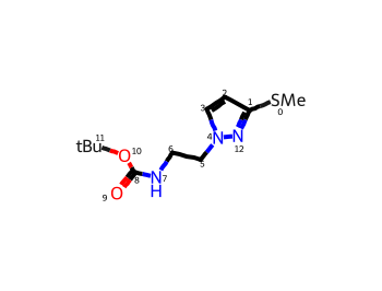 CSc1ccn(CCNC(=O)OC(C)(C)C)n1